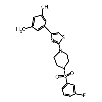 Cc1cc(C)cc(-c2csc(N3CCN(S(=O)(=O)c4cccc(F)c4)CC3)n2)c1